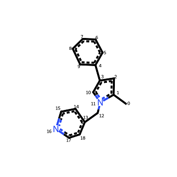 Cc1cc(-c2ccccc2)cn1Cc1ccncc1